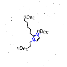 CCCCCCCCCCCCCCCc1n(CCCCCCCCCCCC)cc[n+]1CCCCCCCCCC